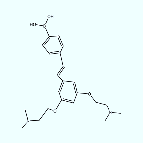 CN(C)CCOc1cc(/C=C/c2ccc(B(O)O)cc2)cc(OCCN(C)C)c1